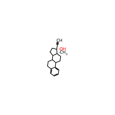 C#C[C@]1(O)CCC2C3CCc4ccccc4C3CC[C@@]21C